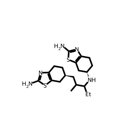 CCC(N[C@H]1CCc2nc(N)sc2C1)C(C)C[C@@H]1CCc2nc(N)sc2C1